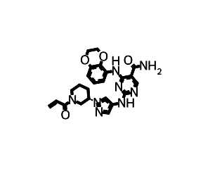 C=CC(=O)N1CCC[C@H](n2cc(Nc3ncc(C(N)=O)c(Nc4cccc5c4OCCO5)n3)cn2)C1